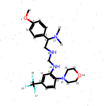 COc1ccc(C(CNCNc2cc(C(F)(F)F)ccc2N2CCOCC2)N(C)C)cc1